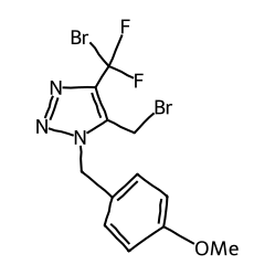 COc1ccc(Cn2nnc(C(F)(F)Br)c2CBr)cc1